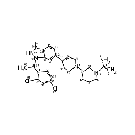 C=C(N)N1CCCC(N2CC=C(c3ccc4c(c3)N([C@H](C)c3ccc(Cl)cc3Cl)NN4)CC2)C1